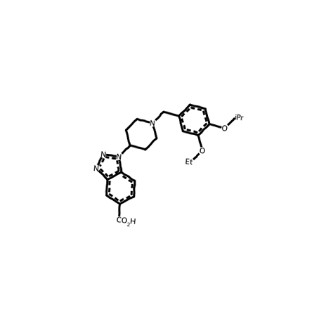 CCOc1cc(CN2CCC(n3nnc4cc(C(=O)O)ccc43)CC2)ccc1OC(C)C